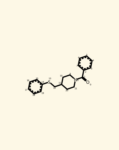 O=C(c1ccccc1)N1CCC(CSc2ccccc2)CC1